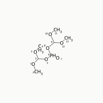 COC(OC)O[PH](=O)OC(OC)OC